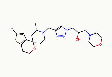 CCc1cc2c(s1)CCO[C@@]21CCN(Cc2cn(CC(O)CN3CCOCC3)nn2)[C@@H](C)C1